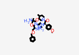 COc1ccc([C@H](C(=O)N2CCC(C)CC2)n2cnc(N(C(=O)[C@H](N)COCc3ccccc3)C(=O)C(C)(C)N)c2)cc1